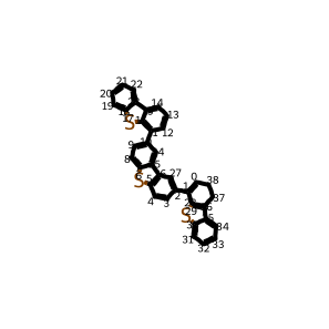 C1=C(c2ccc3sc4ccc(-c5cccc6c5sc5ccccc56)cc4c3c2)c2sc3ccccc3c2CC1